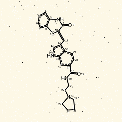 O=C1Nc2ccccc2SC1=Cc1c[nH]c2cc(C(=O)NCCN3CCCC3)ccc12